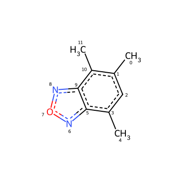 Cc1cc(C)c2nonc2c1C